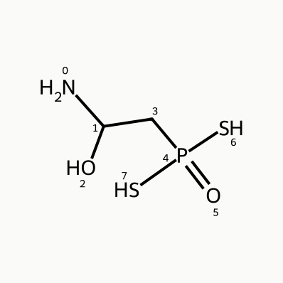 NC(O)CP(=O)(S)S